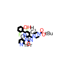 CCCc1nccc(C)c1-n1c(=O)nc(N2CCN(C(=O)OC(C)(C)C)C[C@@H]2C)c2cc(F)c(-c3c(O)cccc3F)nc21